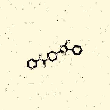 CCc1sc(N2CCN(C(=O)Nc3cccnc3)CC2)nc1-c1ccccc1